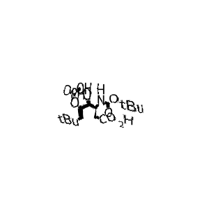 CC(C)(C)C=C(O[PH](=O)O)C(=O)[C@H](CC(=O)O)NC(=O)OC(C)(C)C